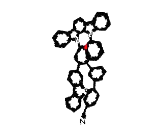 N#Cc1ccc(-c2cccc(-c3ccc(-n4c5ccccc5c5ccc6c7ccccc7n(-c7ccccc7)c6c54)cc3-c3ccc4c(c3)sc3ccccc34)c2)cc1